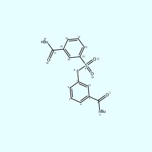 CCCCC(=O)c1cccc(SS(=O)(=O)c2cccc(C(=O)CCCC)c2)c1